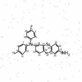 Cc1ccc(N(c2ccc(C)cc2)c2ccc3c(c2)Sc2ccc(N)cc2S3)cc1